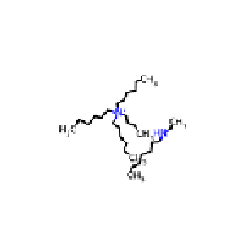 CCCCCCCNCC.CCCCCC[N+](CCCC)(CCCCCC)CCCCCC